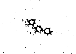 CC1(C)CCN(c2cnc(Sc3cccc(N)c3Cl)c(N)n2)CC1